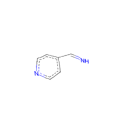 N=Cc1ccncc1